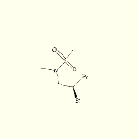 CC[C@@H](CN(C)S(C)(=O)=O)C(C)C